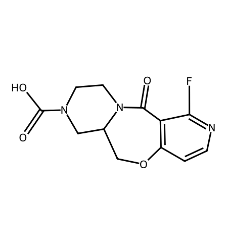 O=C(O)N1CCN2C(=O)c3c(ccnc3F)OCC2C1